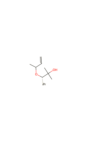 C=CC(C)O[C@@H](C(C)C)C(C)(C)O